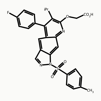 Cc1ccc(S(=O)(=O)n2ncc3cc4c(-c5ccc(F)cc5)c(C(C)C)c(OCC(=O)O)nc4cc32)cc1